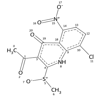 CC(=O)c1c([S+](C)[O-])[nH]c2c(Cl)ccc([N+](=O)[O-])c2c1=O